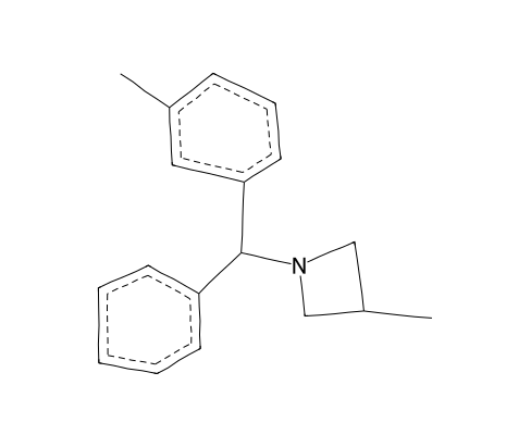 Cc1cccc(C(c2ccccc2)N2CC(C)C2)c1